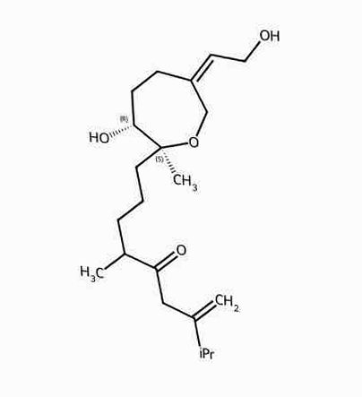 C=C(CC(=O)C(C)CCC[C@]1(C)OCC(=CCO)CC[C@H]1O)C(C)C